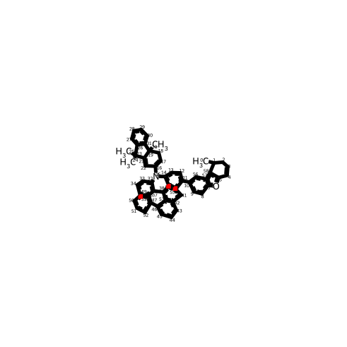 CC1CC=Cc2oc3ccc(-c4ccc(N(C5=CCC6(C)C(=C5)C(C)(C)c5ccccc56)c5ccccc5-c5cccc6cccc(-c7ccccc7)c56)cc4)cc3c21